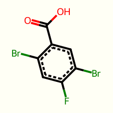 O=C(O)c1cc(Br)c(F)cc1Br